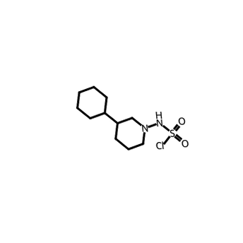 O=S(=O)(Cl)NN1CCCC(C2CCCCC2)C1